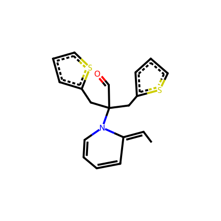 C/C=C1\C=CC=CN1C(C=O)(Cc1cccs1)Cc1cccs1